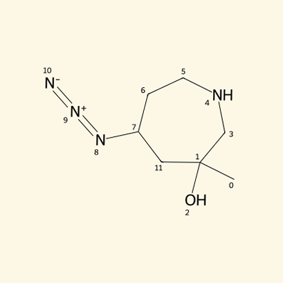 CC1(O)CNCCC(N=[N+]=[N-])C1